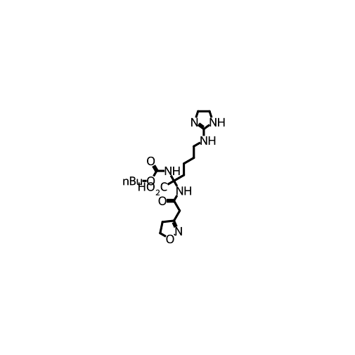 CCCCOC(=O)NC(CCCCNC1=NCCN1)(NC(=O)CC1=NOCC1)C(=O)O